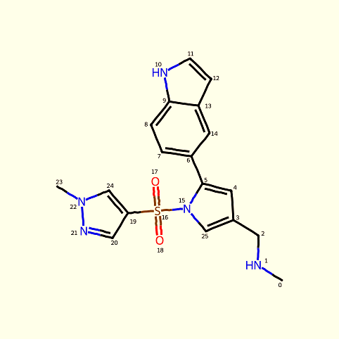 CNCc1cc(-c2ccc3[nH]ccc3c2)n(S(=O)(=O)c2cnn(C)c2)c1